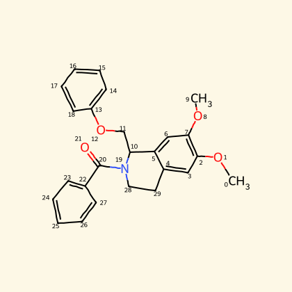 COc1cc2c(cc1OC)C(COc1ccccc1)N(C(=O)c1ccccc1)CC2